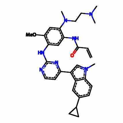 C=CC(=O)Nc1cc(Nc2nccc(-c3cn(C)c4ccc(C5CC5)cc34)n2)c(OC)cc1N(C)CCN(C)C